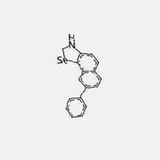 c1ccc(-c2ccc3ccc4c(c3c2)[Se]CN4)cc1